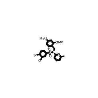 COc1ccc(CN(c2cccc(F)n2)S(=O)(=O)c2ccc(Br)c(Cl)c2)c(OC)c1